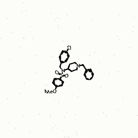 COc1ccc(S(=O)(=O)N(Cc2ccc(Cl)cc2)C2CCN(Cc3ccccc3)CC2)cc1